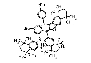 Cc1cc2c(cc1N1c3cc4c(cc3B3c5oc6cc7c(cc6c5N(c5ccc(C(C)(C)C)cc5)c5cc(C(C)(C)C)cc1c53)C(C)(C)CCC7(C)C)C(C)(C)CCC4(C)C)C(C)(C)CCC2(C)C